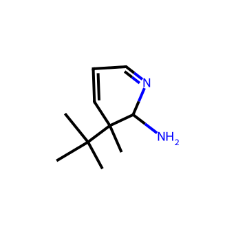 CC(C)(C)C1(C)C=CC=NC1N